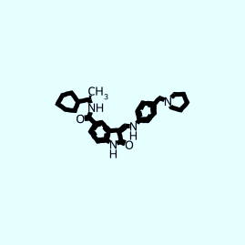 C[C@@H](NC(=O)c1ccc2c(c1)C(=CNc1ccc(CN3CCCCC3)cc1)C(=O)N2)C1CCCCC1